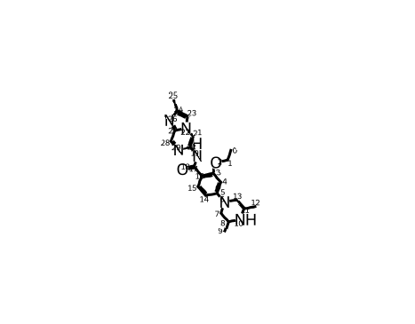 CCOc1cc(N2CC(C)NC(C)C2)ccc1C(=O)Nc1cn2cc(C)nc2cn1